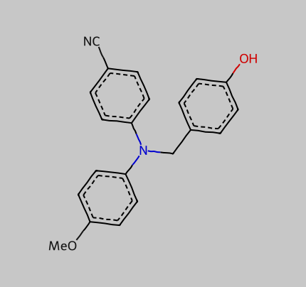 COc1ccc(N(Cc2ccc(O)cc2)c2ccc(C#N)cc2)cc1